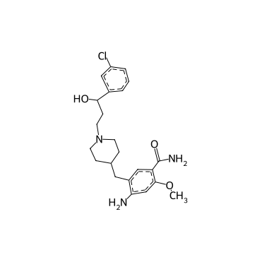 COc1cc(N)c(CC2CCN(CCC(O)c3cccc(Cl)c3)CC2)cc1C(N)=O